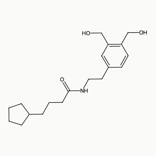 O=C(CCCC1CCCC1)NCCc1ccc(CO)c(CO)c1